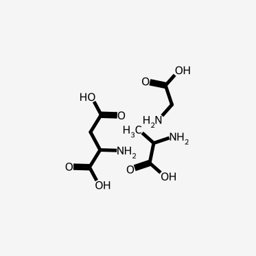 CC(N)C(=O)O.NC(CC(=O)O)C(=O)O.NCC(=O)O